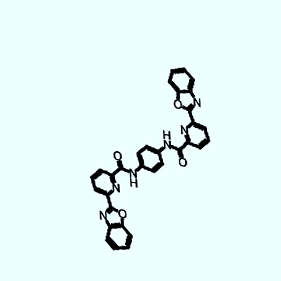 O=C(Nc1ccc(NC(=O)c2cccc(-c3nc4ccccc4o3)n2)cc1)c1cccc(-c2nc3c#cccc3o2)n1